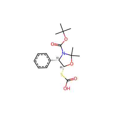 CC(C)(C)OC(=O)N1[C@@H](c2ccccc2)[C@@H](SC(=O)O)OC1(C)C